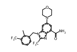 Cc1c(Cn2c(C(F)(F)F)nc3c(C(N)=O)cc(N4CCOCC4)cc32)cccc1C(F)(F)F